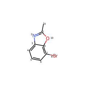 [CH2]c1nc2cccc(Br)c2o1